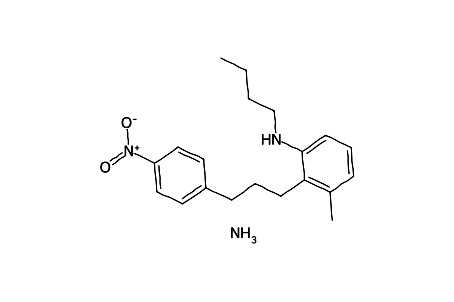 CCCCNc1cccc(C)c1CCCc1ccc([N+](=O)[O-])cc1.N